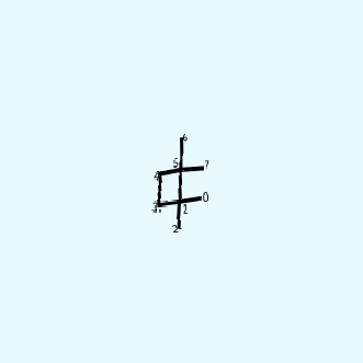 CC1(C)[C]CC1(C)C